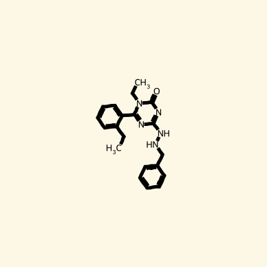 CCc1ccccc1-c1nc(NNCc2ccccc2)nc(=O)n1CC